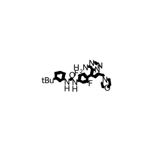 CC(C)(C)c1cccc(NC(=O)Nc2cc(F)c(-c3cc(CN4CCOCC4)n4ncnc(N)c34)cc2F)c1